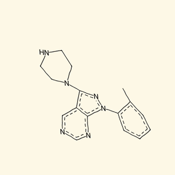 Cc1ccccc1-n1nc(N2CCNCC2)c2cncnc21